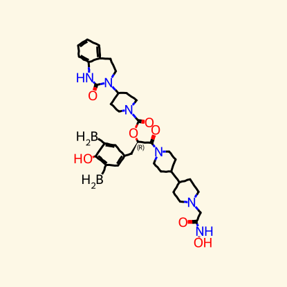 Bc1cc(C[C@@H](OC(=O)N2CCC(N3CCc4ccccc4NC3=O)CC2)C(=O)N2CCC(C3CCN(CC(=O)NO)CC3)CC2)cc(B)c1O